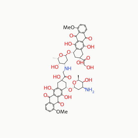 COc1cccc2c1C(=O)c1c(O)c3c(c(O)c1C2=O)C[C@@](O)(C(=O)CN[C@H]1C[C@H](O[C@H]2C[C@](O)(C(=O)CO)Cc4c(O)c5c(c(O)c42)C(=O)c2c(OC)cccc2C5=O)O[C@@H](C)[C@H]1O)C[C@@H]3O[C@H]1C[C@H](N)[C@H](O)[C@H](C)O1